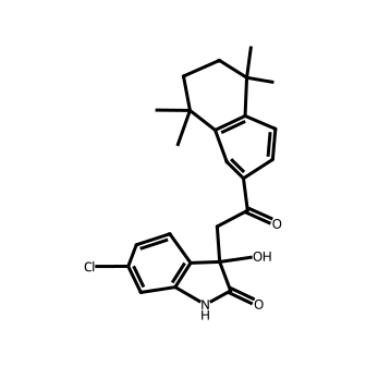 CC1(C)CCC(C)(C)c2cc(C(=O)CC3(O)C(=O)Nc4cc(Cl)ccc43)ccc21